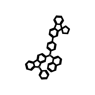 c1ccc(-n2c3ccccc3c3ccc(N(c4ccc(-c5ccc6c(c5)C5(CCCC5)c5ccccc5-6)cc4)c4cccc5ccccc45)cc32)cc1